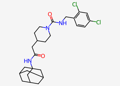 O=C(CC1CCN(C(=O)NCc2ccc(Cl)cc2Cl)CC1)NC12CC3CC(CC(C3)C1)C2